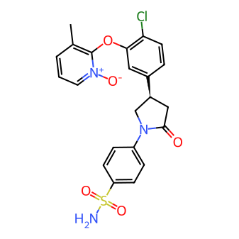 Cc1ccc[n+]([O-])c1Oc1cc([C@H]2CC(=O)N(c3ccc(S(N)(=O)=O)cc3)C2)ccc1Cl